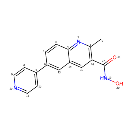 Cc1nc2ccc(-c3ccncc3)cc2cc1C(=O)NO